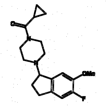 COc1cc2c(cc1F)CCC2N1CCN(C(=O)C2CC2)CC1